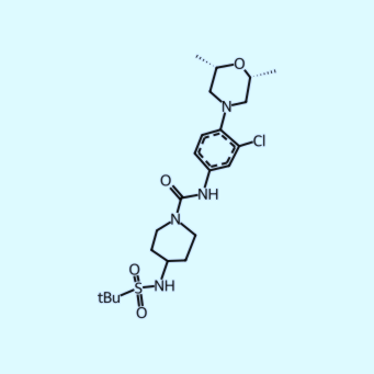 C[C@@H]1CN(c2ccc(NC(=O)N3CCC(NS(=O)(=O)C(C)(C)C)CC3)cc2Cl)C[C@H](C)O1